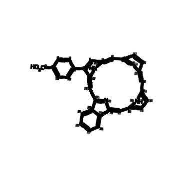 O=C(O)c1ccc(-c2cc3cc4nc(cc5ccc(cc6nc(cc2[nH]3)-c2ccccc2-6)[nH]5)C=C4)cc1